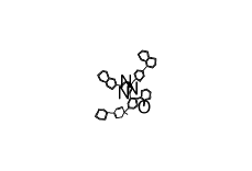 CC1(c2cc(-c3nc(-c4ccc(-c5cccc6ccccc56)cc4)nc(-c4ccc5ccccc5c4)n3)c3c(c2)oc2ccccc23)C=CC(c2ccccc2)=CC1